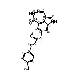 O=C(CSc1ccc(Cl)cc1)Nc1cc2c3c(c[nH]c3c1)C=NNC2=O